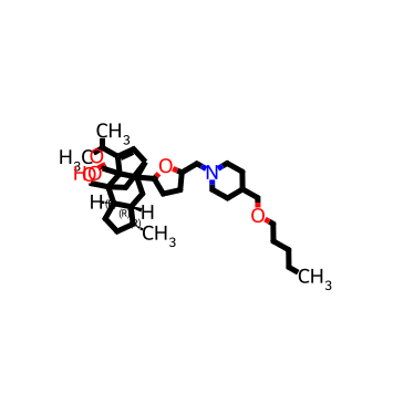 CCCCCOCC1CCN(CC2CCC(C34C[C@@H]5[C@H](C)CC[C@H]5C5(C=O)CC3C=C(C(C)C)C45C(=O)O)O2)CC1